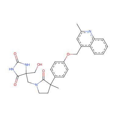 Cc1cc(COc2ccc(C3(C)CCN(CC4(CO)NC(=O)NC4=O)C3=O)cc2)c2ccccc2n1